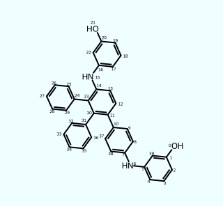 Oc1cccc(Nc2ccc(-c3ccc(Nc4cccc(O)c4)c(-c4ccccc4)c3-c3ccccc3)cc2)c1